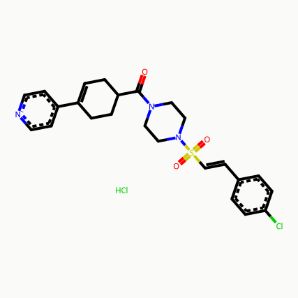 Cl.O=C(C1CC=C(c2ccncc2)CC1)N1CCN(S(=O)(=O)/C=C/c2ccc(Cl)cc2)CC1